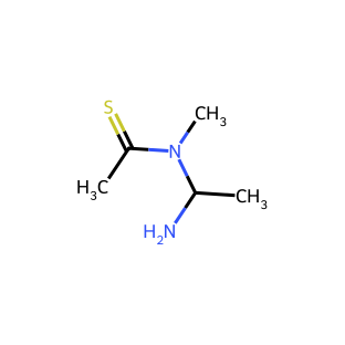 CC(=S)N(C)C(C)N